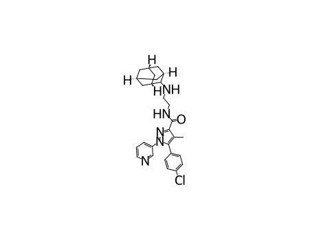 Cc1c(C(=O)NCCNC2[C@H]3C[C@@H]4C[C@@H](C[C@H]2C4)C3)nn(-c2cccnc2)c1-c1ccc(Cl)cc1